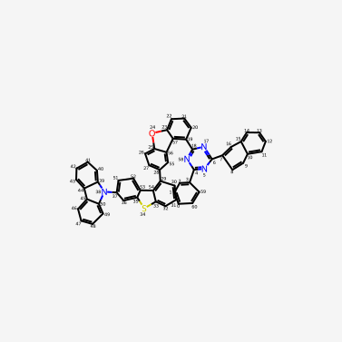 c1ccc(-c2nc(-c3ccc4ccccc4c3)nc(-c3cccc4oc5ccc(-c6cccc7sc8cc(-n9c%10ccccc%10c%10ccccc%109)ccc8c67)cc5c34)n2)cc1